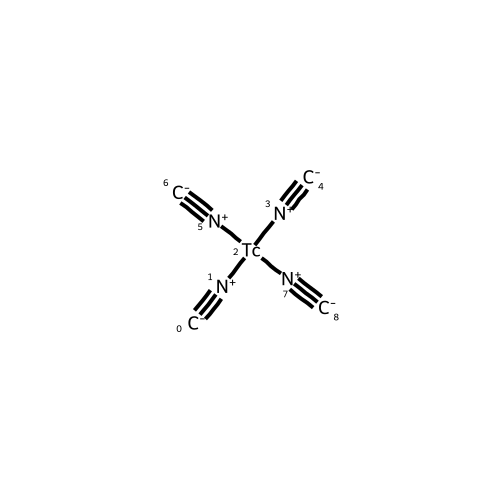 [C-]#[N+][Tc]([N+]#[C-])([N+]#[C-])[N+]#[C-]